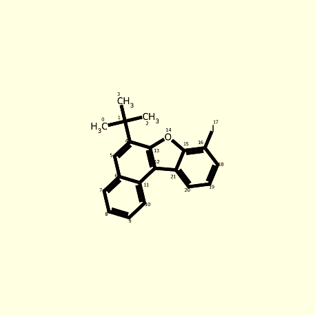 CC(C)(C)c1cc2ccccc2c2c1oc1c(I)cccc12